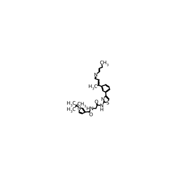 CC/C=C/N=C\C=C(/C)c1cccc(-c2csc(NC(=O)CNC(=O)c3ccn(C(C)(C)C)c3)n2)c1